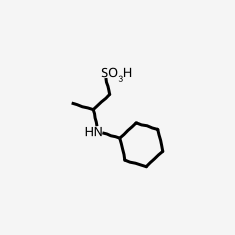 CC(CS(=O)(=O)O)NC1CCCCC1